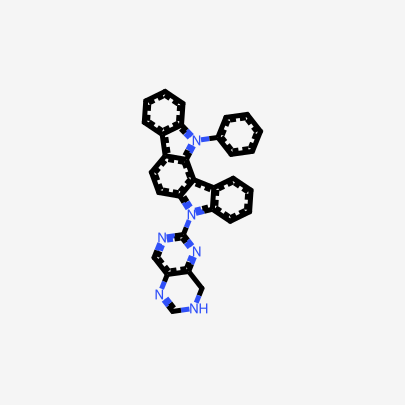 C1=Nc2cnc(-n3c4ccccc4c4c3ccc3c5ccccc5n(-c5ccccc5)c34)nc2CN1